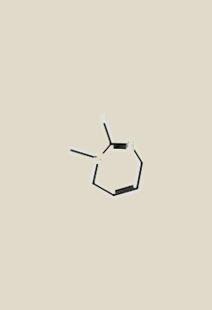 CN1CC=CCN=C1I